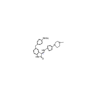 CC(=O)Nc1ccc(Cc2ccc3c(c2)/C(=C\Nc2ccc(N4CCN(C)CC4)cc2)C(=O)N3)cc1